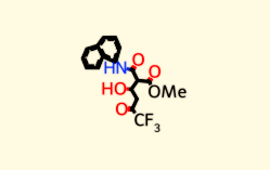 COC(=O)C(C(=O)Nc1cccc2ccccc12)C(O)CC(=O)C(F)(F)F